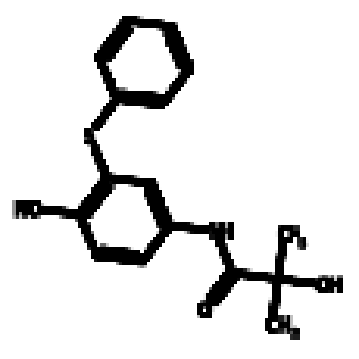 CC(O)(C(=O)Nc1ccc(C#N)c(Sc2ccccc2)c1)C(F)(F)F